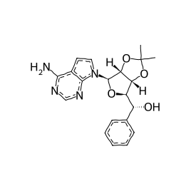 CC1(C)O[C@H]2[C@@H](O1)[C@H](n1ccc3c(N)ncnc31)O[C@@H]2[C@H](O)c1ccccc1